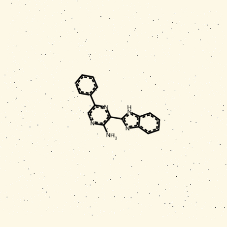 Nc1ncc(-c2c[c]ccc2)nc1-c1nc2ccccc2[nH]1